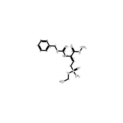 CCOP(C)(=O)C/C=C(\NC(=O)OCc1ccccc1)C(=O)OC